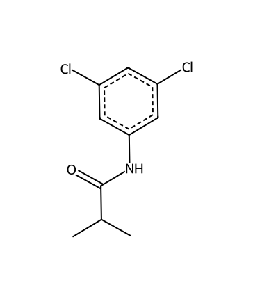 CC(C)C(=O)Nc1cc(Cl)cc(Cl)c1